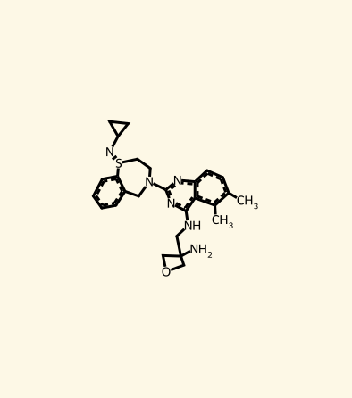 Cc1ccc2nc(N3CCS(=NC4CC4)c4ccccc4C3)nc(NCC3(N)COC3)c2c1C